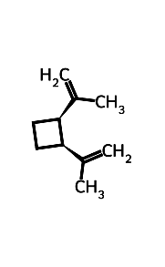 C=C(C)[C@H]1CC[C@H]1C(=C)C